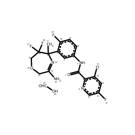 CC1(c2cc(NC(=O)c3ncc(F)cc3Cl)ccc2F)N=C(N)COCC1(F)F.O=CO